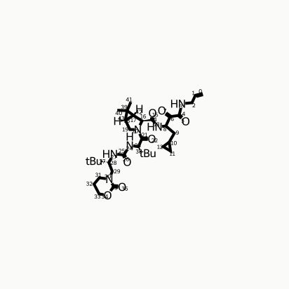 C=CCNC(=O)C(=O)C(CC1CC1)NC(=O)[C@@H]1[C@@H]2[C@H](CN1C(=O)[C@@H](NC(=O)N[C@H](CN1CCCOC1=O)C(C)(C)C)C(C)(C)C)C2(C)C